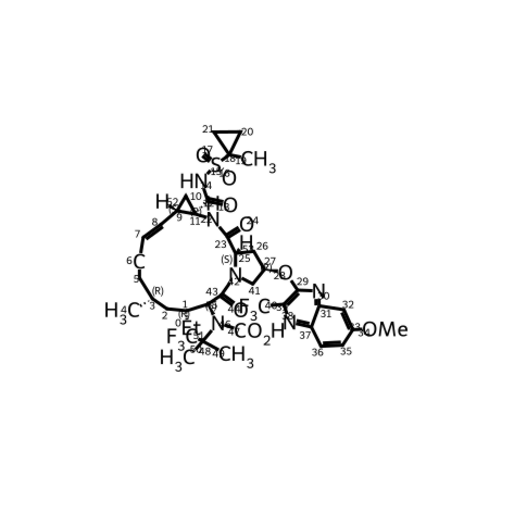 CC[C@@H]1C[C@H](C)CCC=C[C@@H]2C[C@@]2(C(=O)NS(=O)(=O)C2(C)CC2)NC(=O)[C@@H]2C[C@@H](Oc3nc4cc(OC)ccc4nc3C(F)(F)F)CN2C(=O)[C@H]1N(C(=O)O)C(C)(C)C(F)(F)F